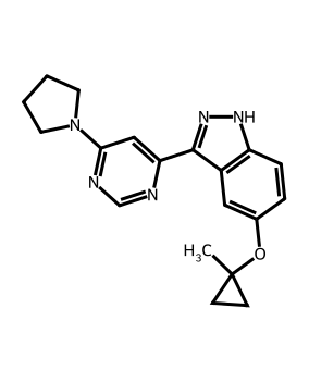 CC1(Oc2ccc3[nH]nc(-c4cc(N5CCCC5)ncn4)c3c2)CC1